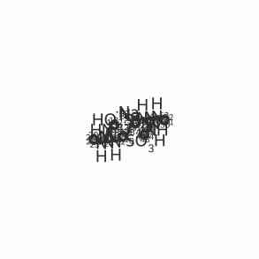 O=S(=O)(O)c1cc(Nc2nc(Nc3ccccc3)nc(Nc3ccccc3)n2)ccc1C=Cc1ccc(Nc2nc(Nc3ccccc3)nc(Nc3ccccc3)n2)cc1S(=O)(=O)O.[Na].[Na]